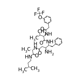 CC(C)CCNC(=O)[C@H](C)NC(=O)C[C@H](N)[C@H](Cc1ccccc1)NC(=O)C(NC(=O)Cc1cccc(OC(F)(F)F)c1)C(C)C